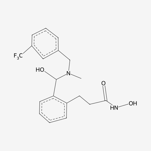 CN(Cc1cccc(C(F)(F)F)c1)C(O)c1ccccc1CCC(=O)NO